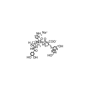 CC(C)(ON=C(C(=O)NC1C(=O)N2C(C(=O)[O-])=C(CSc3cc(CO)nc4nc(CO)nn34)CS[C@@H]12)c1csc(N)n1)C(=O)NNC(=O)c1ccc(O)c(O)c1.[Na+]